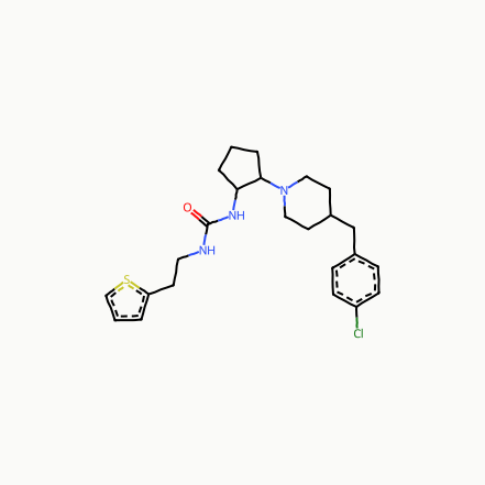 O=C(NCCc1cccs1)NC1CCCC1N1CCC(Cc2ccc(Cl)cc2)CC1